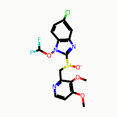 COc1ccnc(C[S+]([O-])c2nc3cc(Cl)ccc3n2OC(F)F)c1OC